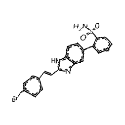 NS(=O)(=O)c1ccccc1-c1ccc2[nH]c(C=Cc3ccc(Br)cc3)nc2c1